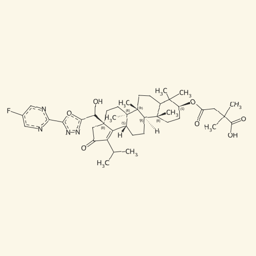 CC(C)C1=C2[C@H]3CC[C@@H]4[C@@]5(C)CC[C@H](OC(=O)CC(C)(C)C(=O)O)C(C)(C)C5CC[C@@]4(C)[C@]3(C)CC[C@@]2(C(O)c2nnc(-c3ncc(F)cn3)o2)CC1=O